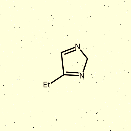 CCC1=NCN=C1